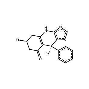 CC[C@@H]1CC(=O)C2=C(C1)Nc1ncsc1[C@@]2(CC)c1ccccc1